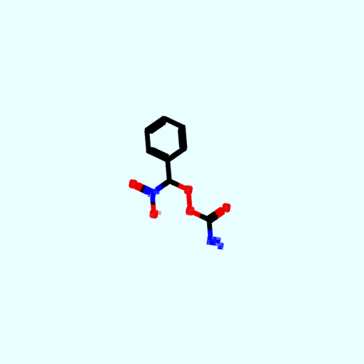 NC(=O)OOC(c1ccccc1)[N+](=O)[O-]